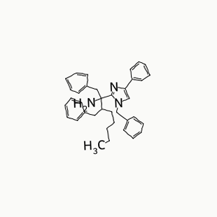 CCCCCC(Cc1ccccc1)C(N)(Cc1ccccc1)c1nc(-c2ccccc2)cn1Cc1ccccc1